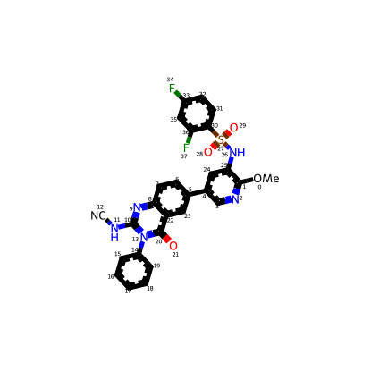 COc1ncc(-c2ccc3nc(NC#N)n(-c4ccccc4)c(=O)c3c2)cc1NS(=O)(=O)c1ccc(F)cc1F